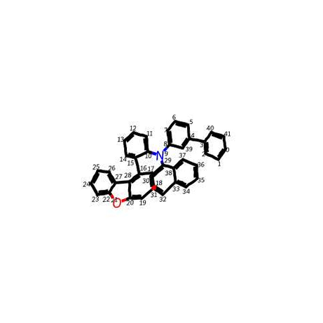 c1ccc(-c2cccc(N(c3ccccc3-c3cccc4oc5ccccc5c34)c3cccc4ccccc34)c2)cc1